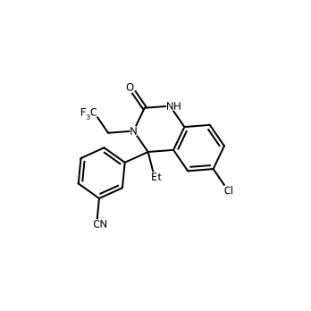 CCC1(c2cccc(C#N)c2)c2cc(Cl)ccc2NC(=O)N1CC(F)(F)F